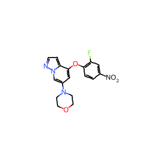 O=[N+]([O-])c1ccc(Oc2cc(N3CCOCC3)cn3nccc23)c(F)c1